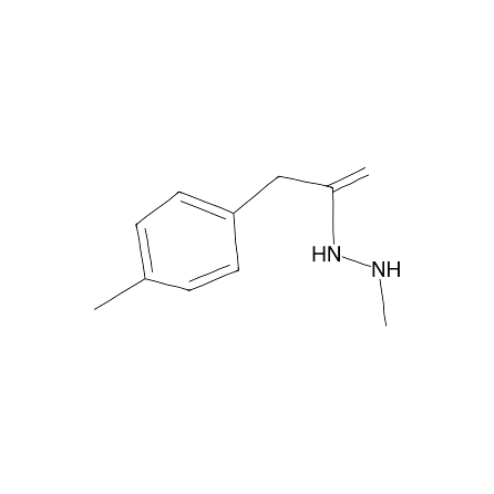 C=C(Cc1ccc(C)cc1)NNC